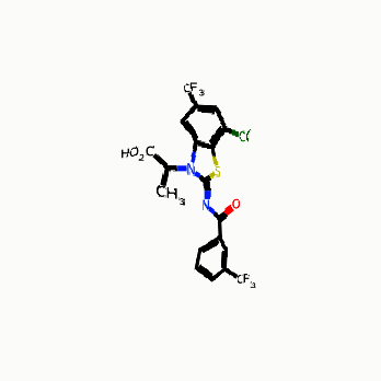 CC(C(=O)O)n1/c(=N/C(=O)c2cccc(C(F)(F)F)c2)sc2c(Cl)cc(C(F)(F)F)cc21